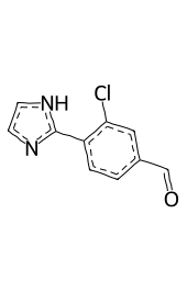 O=Cc1ccc(-c2ncc[nH]2)c(Cl)c1